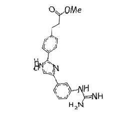 COC(=O)CCc1ccc(-c2nc(-c3cccc(NC(=N)N)c3)c[nH]2)cc1.Cl